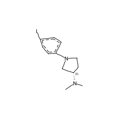 CN(C)[C@H]1CCN(c2ccc(I)cc2)C1